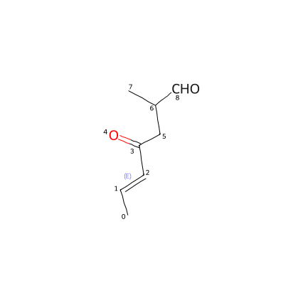 C/C=C/C(=O)CC(C)C=O